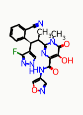 C[C@@H](c1nc(C(=O)Nc2cnoc2)c(O)c(=O)n1C)[C@H](c1ccccc1C#N)c1c[nH]nc1F